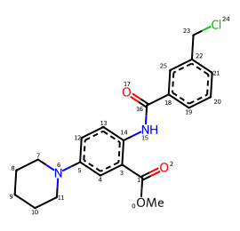 COC(=O)c1cc(N2CCCCC2)ccc1NC(=O)c1cccc(CCl)c1